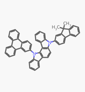 CC1(C)c2ccccc2-c2ccc(-n3c4ccccc4c4c3ccc3c5ccccc5n(-c5ccc6c7ccccc7c7ccccc7c6c5)c34)cc21